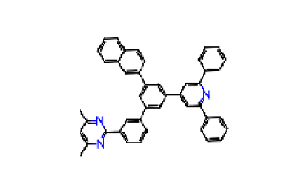 Cc1cc(C)nc(-c2cccc(-c3cc(-c4cc(-c5ccccc5)nc(-c5ccccc5)c4)cc(-c4ccc5ccccc5c4)c3)c2)n1